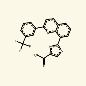 NC(=O)c1csc(-c2cccc3ccc(-c4cccc(C(F)(F)F)c4)nc23)n1